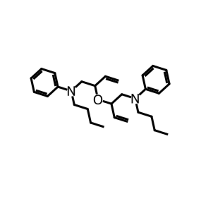 C=CC(CN(CCCC)c1ccccc1)OC(C=C)CN(CCCC)c1ccccc1